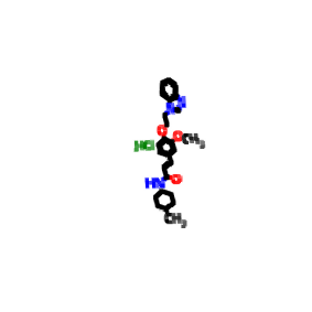 COc1cc(/C=C/C(=O)N[C@H]2CC[C@H](C)CC2)ccc1OCCn1cnc2ccccc21.Cl